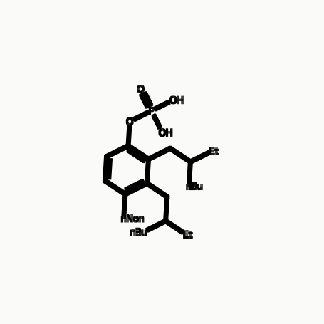 CCCCCCCCCc1ccc(OP(=O)(O)O)c(CC(CC)CCCC)c1CC(CC)CCCC